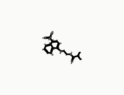 CC(C)C(=O)OCCOc1ccc([N+](=O)[O-])c2cccnc12